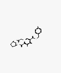 C[C@H](NC(=O)c1cn2c(c(O)c1=O)C(=O)N1C3CCC(C3)O[C@@H]1C2)c1ccc(F)cc1